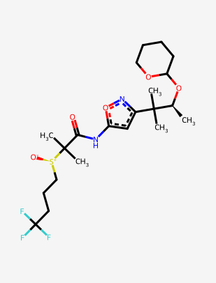 C[C@H](OC1CCCCO1)C(C)(C)c1cc(NC(=O)C(C)(C)[S@+]([O-])CCCC(F)(F)F)on1